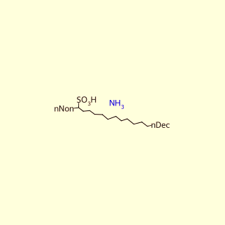 CCCCCCCCCCCCCCCCCCCCCC(CCCCCCCCC)S(=O)(=O)O.N